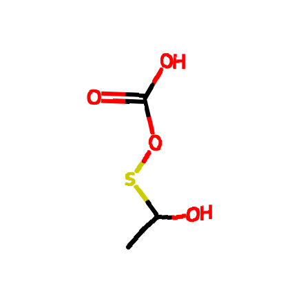 CC(O)SOC(=O)O